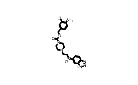 O=C(OCc1ccc(C(F)(F)F)c(Cl)c1)N1CCN(CC[S@@+]([O-])c2ccc3nn[nH]c3c2)CC1